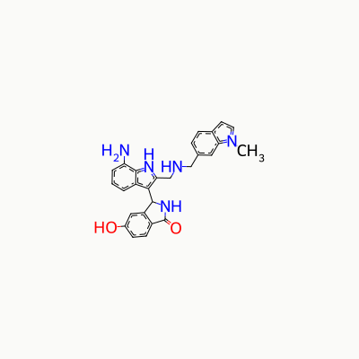 Cn1ccc2ccc(CNCc3[nH]c4c(N)cccc4c3C3NC(=O)c4ccc(O)cc43)cc21